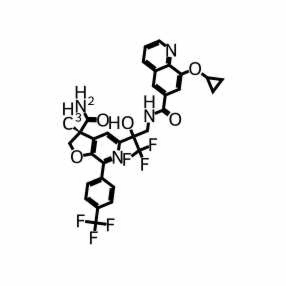 C[C@]1(C(N)=O)COc2c1cc(C(O)(CNC(=O)c1cc(OC3CC3)c3ncccc3c1)C(F)(F)F)nc2-c1ccc(C(F)(F)F)cc1